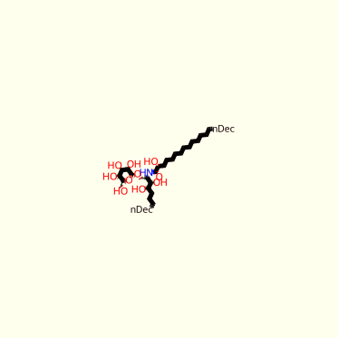 CCCCCCCCCCCCCCCCCCCCCCC(O)C(=O)N[C@@H](CO[C@H]1O[C@H](CO)[C@H](O)[C@H](O)[C@H]1O)[C@H](O)[C@H](O)CCCCCCCCCCCCC